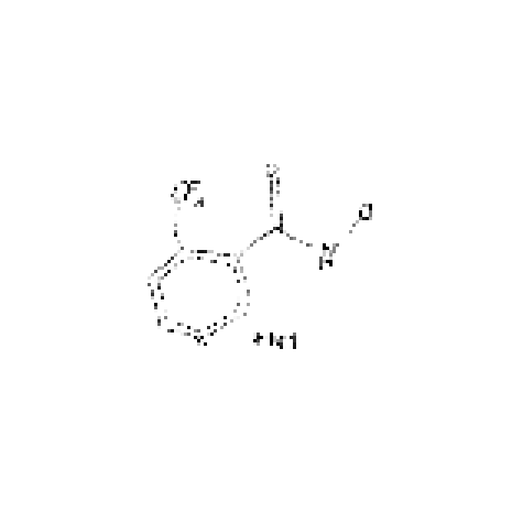 Cl.O=C(NCl)c1cnccc1C(F)(F)F